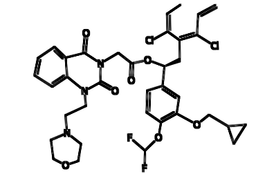 C=C/C(Cl)=C(C[C@H](OC(=O)Cn1c(=O)c2ccccc2n(CCN2CCOCC2)c1=O)c1ccc(OC(F)F)c(OCC2CC2)c1)\C(Cl)=C/C